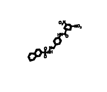 O=C(Nc1ccc(C=NNS(=O)(=O)c2ccc3ccccc3c2)cc1)c1cc([N+](=O)[O-])cc([N+](=O)[O-])c1